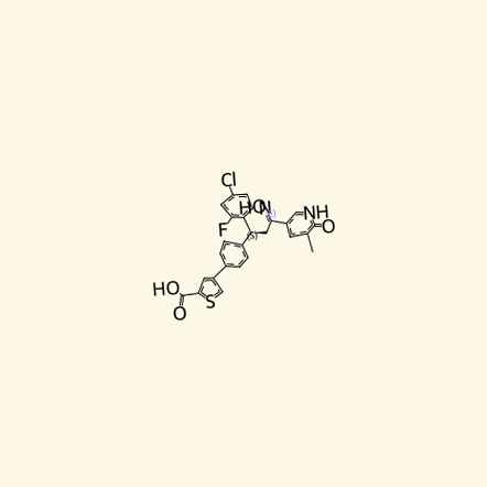 Cc1cc(/C(C[C@@H](c2ccc(-c3csc(C(=O)O)c3)cc2)c2ccc(Cl)cc2F)=N/O)c[nH]c1=O